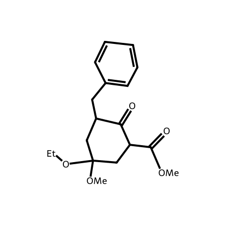 CCOC1(OC)CC(Cc2ccccc2)C(=O)C(C(=O)OC)C1